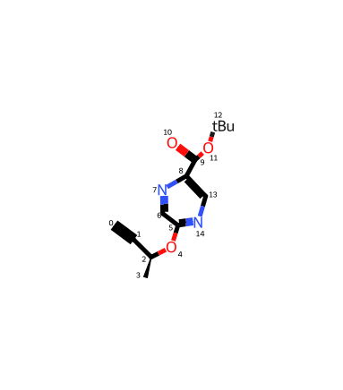 C#C[C@H](C)Oc1cnc(C(=O)OC(C)(C)C)cn1